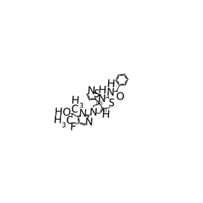 CC(C)(O)c1nc(N2C[C@H]3CSC(NC(=O)c4ccccc4)N[C@@]3(c3ccns3)C2)ncc1F